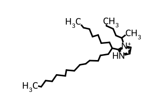 CCCCCCCCCCCCCCC(CCCCCCC)c1[nH]cc[n+]1C(C)CCCC